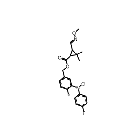 CON=CC1C(C(=O)OCc2ccc(F)c(N(Cl)c3ccc(F)cc3)c2)C1(C)C